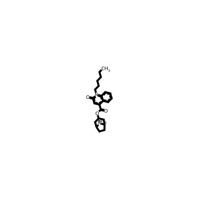 CCCCCCn1c(=O)cc(C(=O)OC2CC3CCC(C2)N3C)c2ccccc21